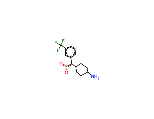 NC1CCC(C(c2cccc(C(F)(F)F)c2)=S(=O)=O)CC1